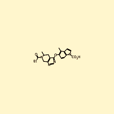 CCC(=O)N1Cc2ncnc(Oc3ccc4c(ccn4C(=O)O)c3C)c2CC1C